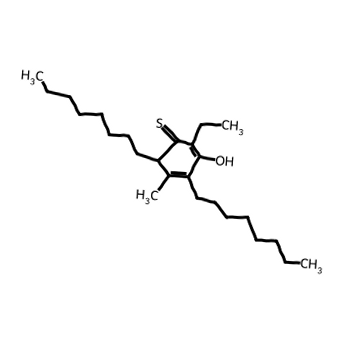 CCCCCCCCC1=C(C)C(CCCCCCCC)C(=S)C(CC)=C1O